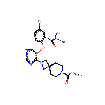 CCN(C(=O)c1cc(Cl)ccc1Oc1cncnc1N1CC2(CCN(C(=O)OC(C)(C)C)CC2)C1)C(C)C